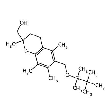 Cc1c(C)c2c(c(C)c1CO[Si](C)(C)C(C)(C)C)CCC(C)(CO)O2